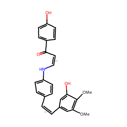 COc1cc(/C=C\c2ccc(N/C=C\C(=O)c3ccc(O)cc3)cc2)cc(O)c1OC